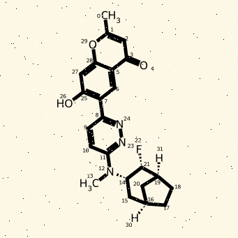 Cc1cc(=O)c2cc(-c3ccc(N(C)[C@H]4C[C@@H]5CC[C@@H](C5)[C@H]4F)nn3)c(O)cc2o1